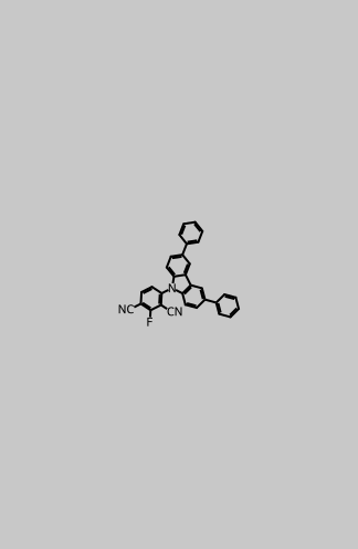 N#Cc1ccc(-n2c3ccc(-c4ccccc4)cc3c3cc(-c4ccccc4)ccc32)c(C#N)c1F